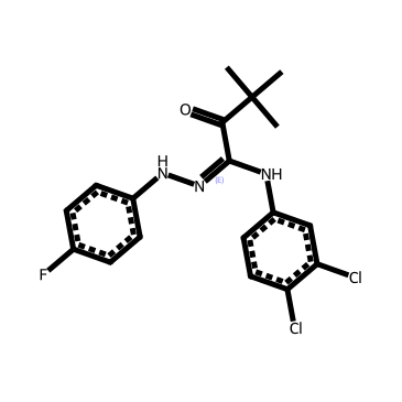 CC(C)(C)C(=O)/C(=N\Nc1ccc(F)cc1)Nc1ccc(Cl)c(Cl)c1